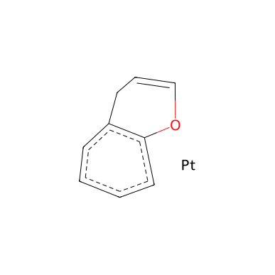 C1=COc2ccccc2C1.[Pt]